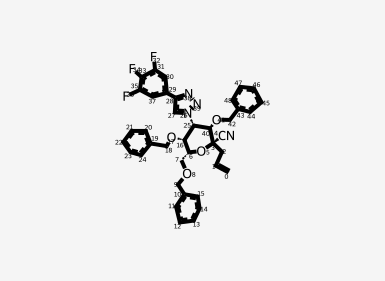 C=CC[C@]1(C#N)O[C@H](COCc2ccccc2)[C@H](OCc2ccccc2)[C@H](n2cc(-c3cc(F)c(F)c(F)c3)nn2)[C@H]1OCc1ccccc1